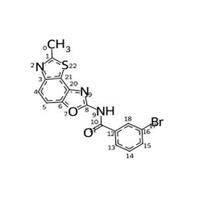 Cc1nc2ccc3oc(NC(=O)c4cccc(Br)c4)nc3c2s1